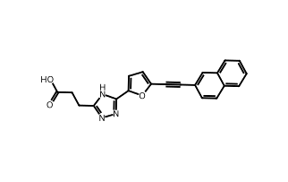 O=C(O)CCc1nnc(-c2ccc(C#Cc3ccc4ccccc4c3)o2)[nH]1